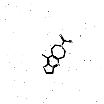 CCC(=O)N1CCc2nc3ccsc3c(C)c2CC1